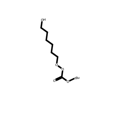 CC(C)(C)OC(=O)OOCCCCCCO